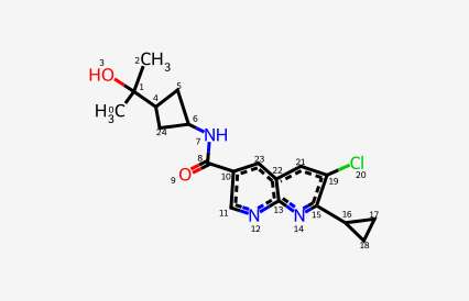 CC(C)(O)C1CC(NC(=O)c2cnc3nc(C4CC4)c(Cl)cc3c2)C1